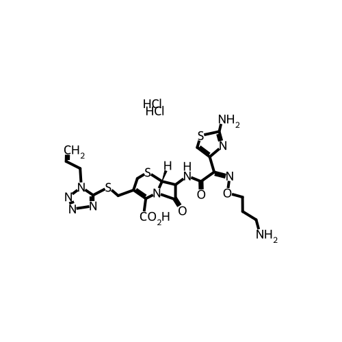 C=CCn1nnnc1SCC1=C(C(=O)O)N2C(=O)C(NC(=O)/C(=N\OCCCN)c3csc(N)n3)[C@H]2SC1.Cl.Cl